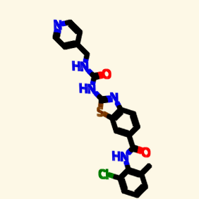 Cc1cccc(Cl)c1NC(=O)c1ccc2nc(NC(=O)NCc3ccncc3)sc2c1